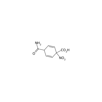 NC(=O)C1C=CC(C(=O)O)([N+](=O)[O-])C=C1